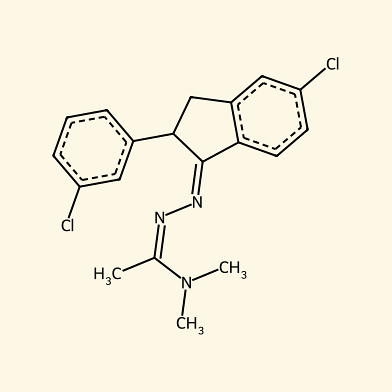 C/C(=N/N=C1/c2ccc(Cl)cc2CC1c1cccc(Cl)c1)N(C)C